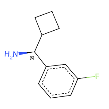 N[C@H](c1cccc(F)c1)C1CCC1